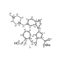 COC(=O)c1sc(-n2cnc3ccc(CN4CCN(C)CC4)cc32)cc1O[C@H](C)c1ccccc1C(F)(F)F.Cl